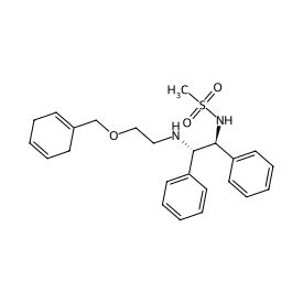 CS(=O)(=O)N[C@@H](c1ccccc1)[C@@H](NCCOCC1=CCC=CC1)c1ccccc1